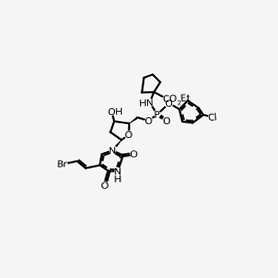 CCOC(=O)C1(NP(=O)(OC[C@H]2O[C@@H](n3cc(/C=C/Br)c(=O)[nH]c3=O)CC2O)Oc2ccc(Cl)cc2)CCCC1